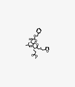 COC(=O)CC[C@H](NC(=O)[C@H](CC(C)C)NC(=O)OCc1ccccc1)C(=O)CSCc1ccco1